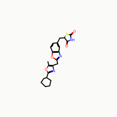 Cc1oc(C2CCCCC2)nc1Cc1nc2cc(CC3SC(=O)NC3=O)ccc2o1